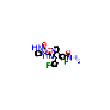 NC(=O)c1cc(-c2cccnc2C(Cc2cccc(F)c2)NC(=O)CN2CC(=O)Nc3ccccc32)ccc1F